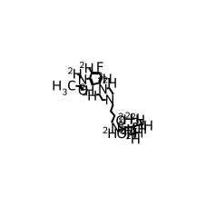 [2H]c1c(F)c([2H])c(N2C([2H])CN(CCCCN([2H])S(=O)(=O)C([2H])([2H])C([2H])(C([2H])([2H])[2H])C([2H])([2H])[2H])CC2[2H])c([2H])c1N([2H])C(C)=O